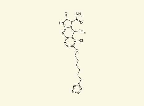 CC1c2c(ccc(OCCCCCCn3ccnc3)c2Cl)N=C2NC(=O)C(C(N)=O)N21